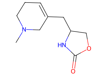 CN1CCC=C(CC2COC(=O)N2)C1